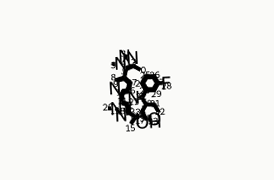 Cc1nnn(C)c1-c1cnc2c3c(c(C(C)(C)O)nn3C)n(C(c3cccc(F)c3)C3CCOCC3)c2c1